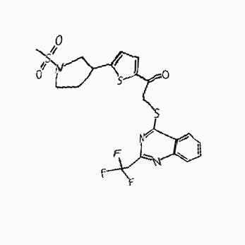 CS(=O)(=O)N1CCC(c2ccc(C(=O)CSc3nc(C(F)(F)F)nc4ccccc34)s2)C1